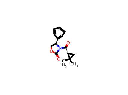 CC1(C)C[C@H]1C(=O)N1C(=O)OC[C@H]1c1ccccc1